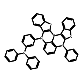 c1ccc(N(c2ccccc2)c2cccc(N3c4cccc5c4B(c4sc6ccccc6c43)c3c(sc4ccccc34)N5c3ccccc3)c2)cc1